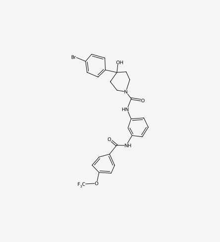 O=C(Nc1cccc(NC(=O)N2CCC(O)(c3ccc(Br)cc3)CC2)c1)c1ccc(OC(F)(F)F)cc1